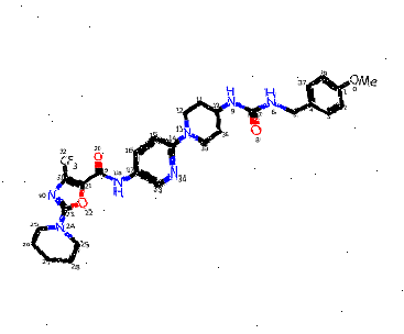 COc1ccc(CNC(=O)NC2CCN(c3ccc(NC(=O)c4oc(N5CCCCC5)nc4C(F)(F)F)cn3)CC2)cc1